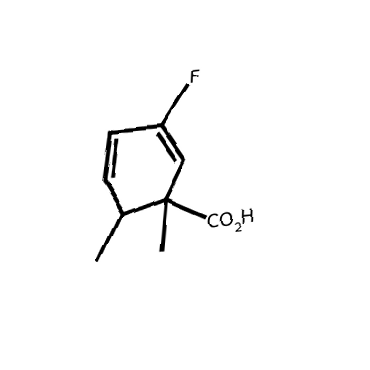 CC1C=CC(F)=CC1(C)C(=O)O